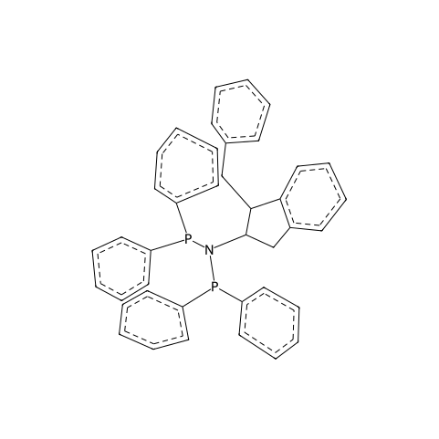 c1ccc(CC2c3ccccc3CC2N(P(c2ccccc2)c2ccccc2)P(c2ccccc2)c2ccccc2)cc1